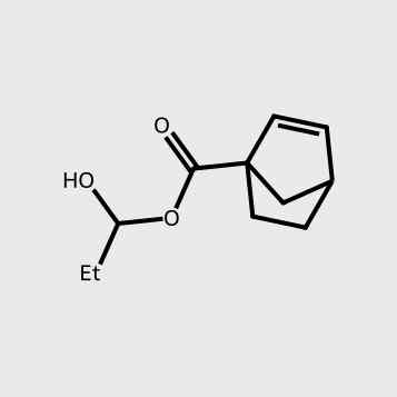 CCC(O)OC(=O)C12C=CC(CC1)C2